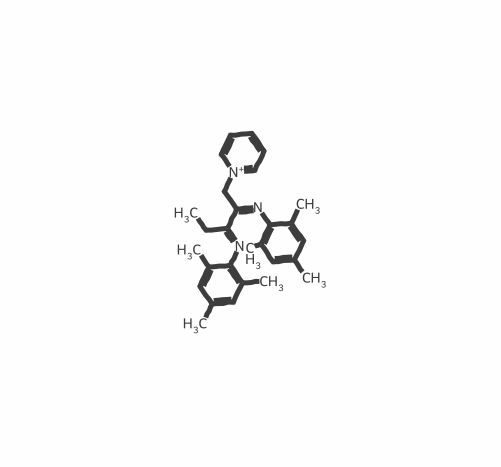 CCC(=Nc1c(C)cc(C)cc1C)C(C[n+]1ccccc1)=Nc1c(C)cc(C)cc1C